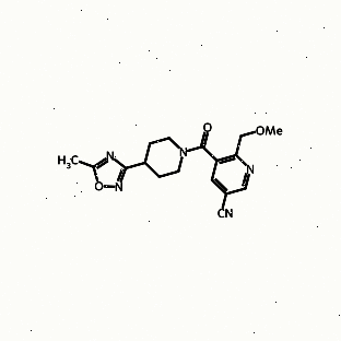 COCc1ncc(C#N)cc1C(=O)N1CCC(c2noc(C)n2)CC1